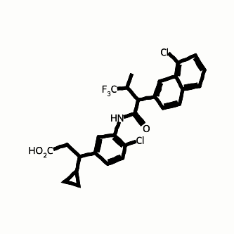 CC(C(C(=O)Nc1cc(C(CC(=O)O)C2CC2)ccc1Cl)c1ccc2cccc(Cl)c2c1)C(F)(F)F